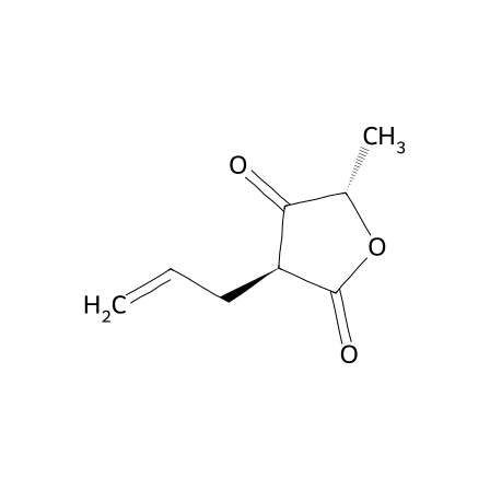 C=CC[C@@H]1C(=O)O[C@@H](C)C1=O